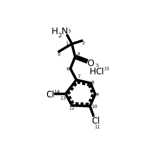 CC(C)(N)C(=O)Cc1ccc(Cl)cc1Cl.Cl